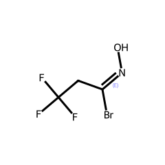 O/N=C(/Br)CC(F)(F)F